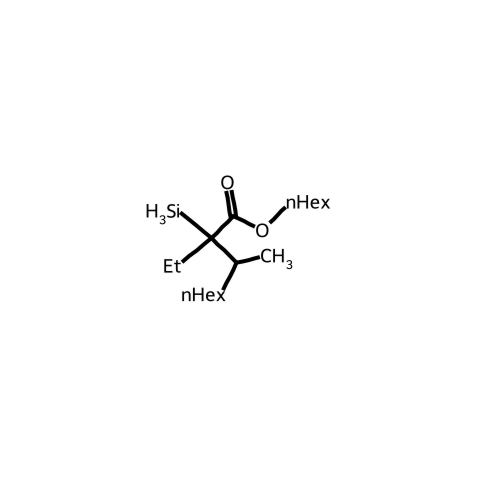 CCCCCCOC(=O)C([SiH3])(CC)C(C)CCCCCC